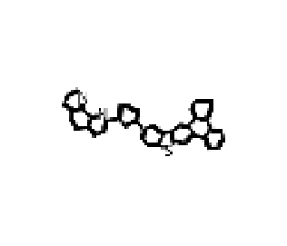 c1cc(-c2ccc3sc4cc5c6ccccc6c6ccccc6c5cc4c3c2)cc(-c2ccc3ccc4cccnc4c3n2)c1